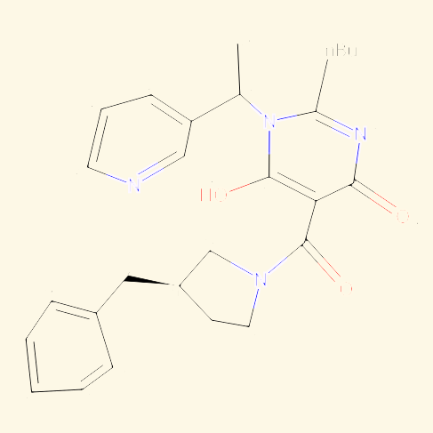 CCCCc1nc(=O)c(C(=O)N2CC[C@@H](Cc3ccccc3)C2)c(O)n1C(C)c1cccnc1